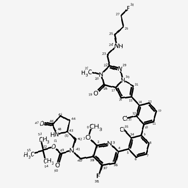 COc1nc(-c2cccc(-c3cccc(-c4cc5c(=O)n(C)c(CNCCCF)nn5c4)c3Cl)c2Cl)cc(F)c1CN(C[C@@H]1CCC(=O)N1)C(=O)OC(C)(C)C